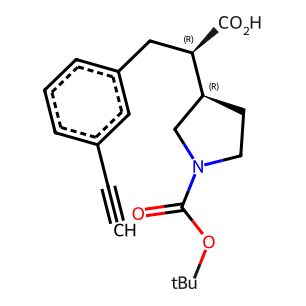 C#Cc1cccc(C[C@@H](C(=O)O)[C@H]2CCN(C(=O)OC(C)(C)C)C2)c1